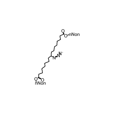 CCCCCCCCCOC(=O)CCCCCCCC(CCCCCCCC(=O)OCCCCCCCCC)N=[N+]=[N-]